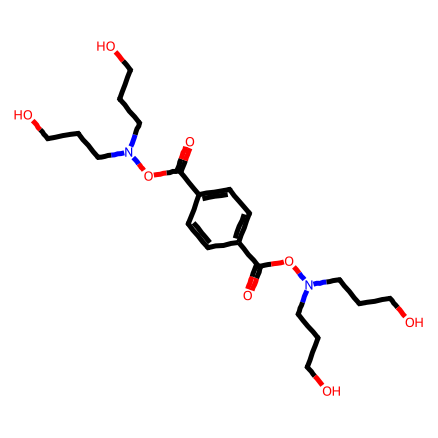 O=C(ON(CCCO)CCCO)c1ccc(C(=O)ON(CCCO)CCCO)cc1